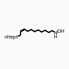 CCCCCCCC/C=C\CCCCCCCCNO